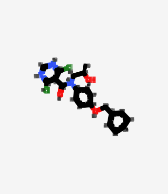 C[C@@H](O)CN(C(=O)c1c(Cl)ncnc1Cl)c1ccc(OCc2ccccc2)cc1